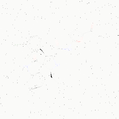 COC(=O)c1ccc(NC(=O)[C@@H]2N[C@@H](CC(C)(C)C)[C@@]3(C(=O)Nc4cc(Cl)ccc43)[C@H]2c2cccc(Cl)c2F)o1